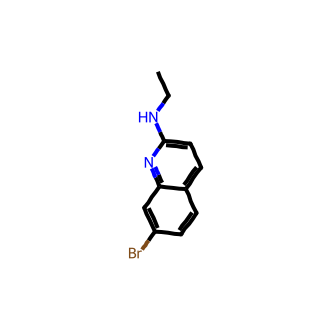 CCNc1ccc2ccc(Br)cc2n1